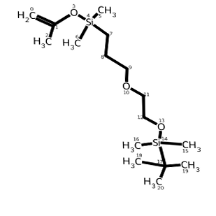 C=C(C)O[Si](C)(C)CCCOCCO[Si](C)(C)C(C)(C)C